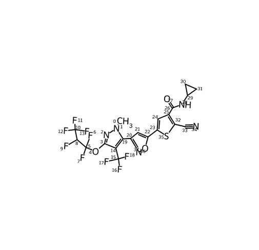 Cn1nc(OC(F)(F)C(F)C(F)(F)F)c(C(F)(F)F)c1-c1cc(-c2cc(C(=O)NC3CC3)c(C#N)s2)on1